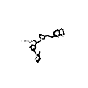 Cc1ccnn1-c1cccc(C(CC(=O)O)CN2CCC(CCc3ccc4c(n3)NCCC4)C2)c1